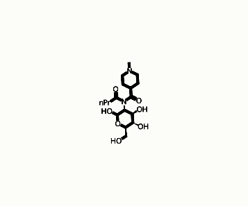 CCCC(=O)N(C(=O)C1CCN(C)CC1)[C@H]1C(O)O[C@H](CO)[C@@H](O)[C@@H]1O